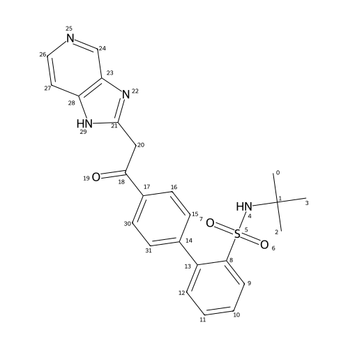 CC(C)(C)NS(=O)(=O)c1ccccc1-c1ccc(C(=O)Cc2nc3cnccc3[nH]2)cc1